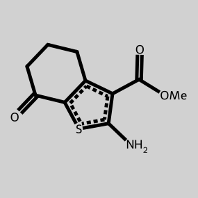 COC(=O)c1c(N)sc2c1CCCC2=O